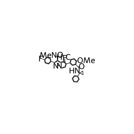 CNC(=O)c1c(-c2ccc(F)cc2)nn2ccc(-c3cc(C(=O)NC4(c5ccccc5)CC4)c(OC)cc3C)c(F)c12